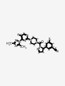 Cc1nc(C)n(-c2nc(N3CCN(C(=O)N4N=CCC4c4cc(F)cc(C#N)c4)CC3)ncc2F)n1